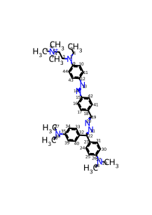 CCN(CC[N+](C)(C)C)c1ccc(N=Nc2ccc(C=NN=C(c3ccc(N(C)C)cc3)c3ccc(N(C)C)cc3)cc2)cc1